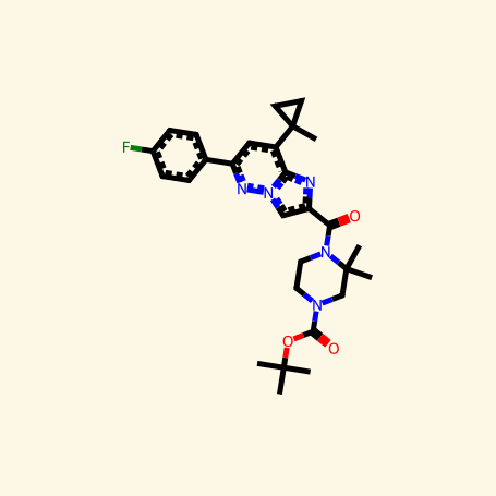 CC(C)(C)OC(=O)N1CCN(C(=O)c2cn3nc(-c4ccc(F)cc4)cc(C4(C)CC4)c3n2)C(C)(C)C1